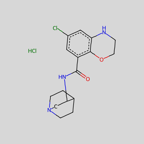 Cl.O=C(NC1CN2CCC1CC2)c1cc(Cl)cc2c1OCCN2